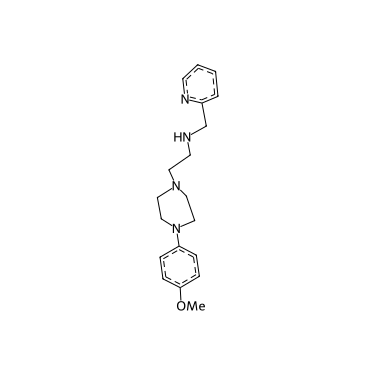 COc1ccc(N2CCN(CCNCc3ccccn3)CC2)cc1